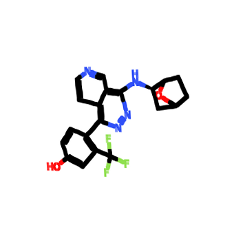 Oc1ccc(-c2nnc(N[C@@H]3CC4CCC3O4)c3cnccc23)c(C(F)(F)F)c1